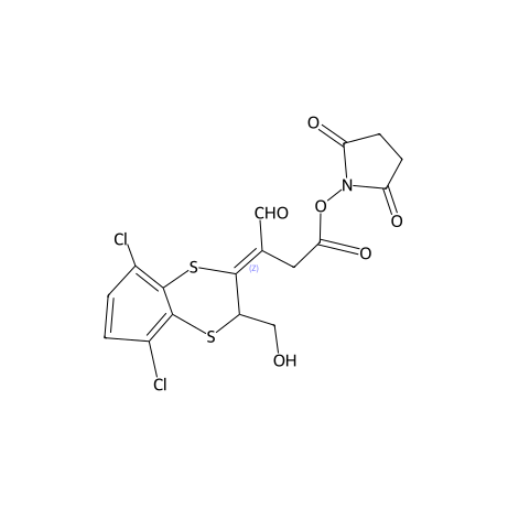 O=C/C(CC(=O)ON1C(=O)CCC1=O)=C1\Sc2c(Cl)ccc(Cl)c2SC1CO